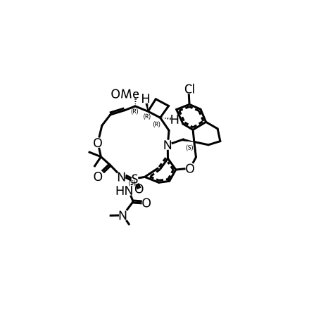 CO[C@H]1C=CCOC(C)(C)C(=O)N=[S@@](=O)(NC(=O)N(C)C)c2ccc3c(c2)N(C[C@@H]2CC[C@H]21)C[C@@]1(CCCc2cc(Cl)ccc21)CO3